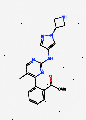 COC(=O)c1ccccc1-c1nc(Nc2cnn(C3CNC3)c2)ncc1C